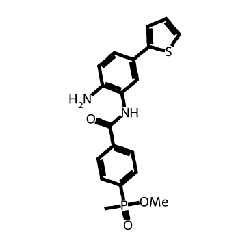 COP(C)(=O)c1ccc(C(=O)Nc2cc(-c3cccs3)ccc2N)cc1